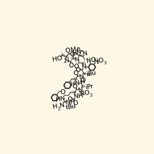 CC[C@H](C)[C@H](NC(=O)[C@H](Cc1ccc(OCc2ccccc2)cc1)NC(=O)[C@H](C(C)C)N(C(=O)[C@H](CCCNC(=N)N)NC(=O)OC(C)(C)C)[N+](=O)[O-])C(=O)N(c1cccc([N+](=O)[O-])c1[N+](=O)[O-])[C@@H](Cc1c[nH]cn1)C(=O)N1CCC[C@H]1C(=O)N(C)[C@H](C(=O)OC)[C@@H](C)O